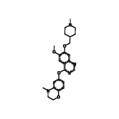 COc1cc2c(Oc3ccc4c(c3)N(C)CCO4)ncnc2cc1OCC1CCN(C)CC1